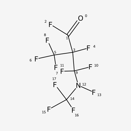 O=C(F)C(F)(C(F)(F)F)C(F)(F)N(F)C(F)(F)F